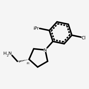 CC(C)c1ccc(Cl)cc1N1CC[C@H](CN)C1